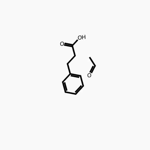 CC=O.O=C(O)CCc1ccccc1